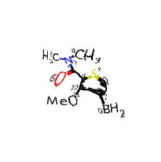 Bc1csc(C(=O)N(C)C)c1OC